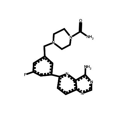 NC(=O)N1CCN(Cc2cc(F)cc(-c3ccc4ncnc(N)c4n3)c2)CC1